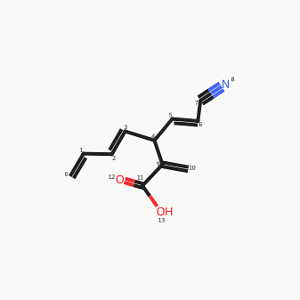 C=CC=CC(C=CC#N)C(=C)C(=O)O